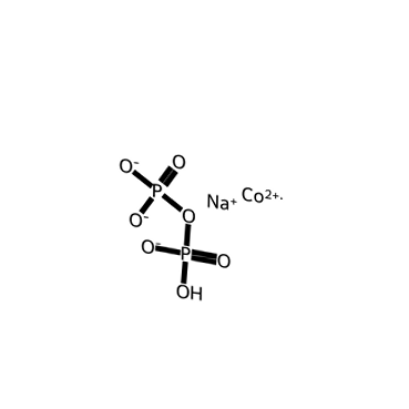 O=P([O-])([O-])OP(=O)([O-])O.[Co+2].[Na+]